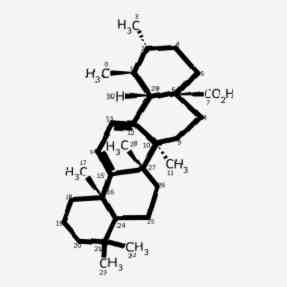 C[C@H]1[C@H](C)CC[C@]2(C(=O)O)CC[C@]3(C)C(=CC=C4[C@@]5(C)CCCC(C)(C)C5CC[C@]43C)[C@H]12